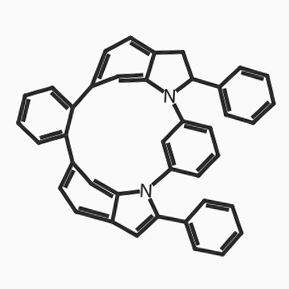 c1ccc(-c2cc3ccc4cc3n2c2cccc(c2)n2c3cc(ccc3CC2c2ccccc2)c2ccccc42)cc1